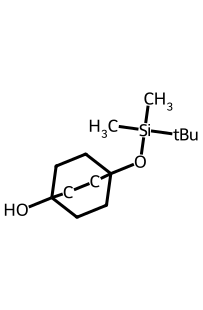 CC(C)(C)[Si](C)(C)OC12CCC(O)(CC1)CC2